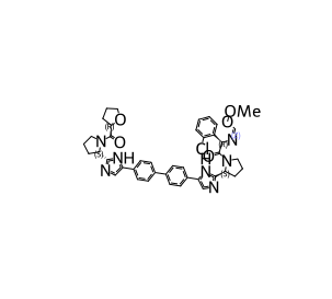 COO/C=N\[C@@H](C(=O)N1CCC[C@H]1c1ncc(-c2ccc(-c3ccc(-c4cnc([C@@H]5CCCN5C(=O)[C@H]5CCCO5)[nH]4)cc3)cc2)[nH]1)c1ccccc1Cl